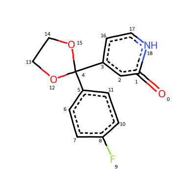 O=c1cc(C2(c3ccc(F)cc3)OCCO2)cc[nH]1